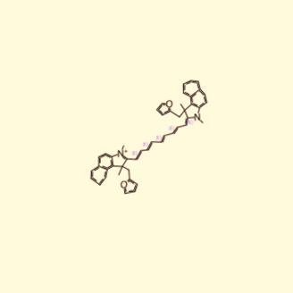 CN1/C(=C/C=C/C=C/C=C/C=C/C2=[N+](C)c3ccc4ccccc4c3C2(C)Cc2ccco2)C(C)(Cc2ccco2)c2c1ccc1ccccc21